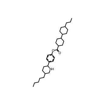 CCCCCC1CCC(c2ccc(OC(=O)C3CCC(C4CCC(CCC)CC4)CC3)cc2)NC1